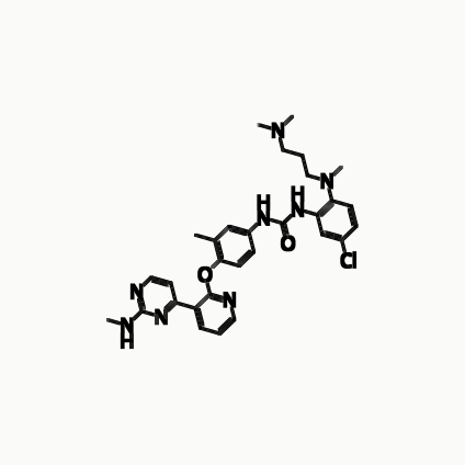 CNc1nccc(-c2cccnc2Oc2ccc(NC(=O)Nc3cc(Cl)ccc3N(C)CCCN(C)C)cc2C)n1